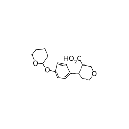 O=C(O)C1COCCC1c1ccc(OC2CCCCO2)cc1